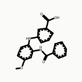 COc1ccc(Nc2cccc(C(=O)O)c2)c(NC(=O)c2ccccc2)c1